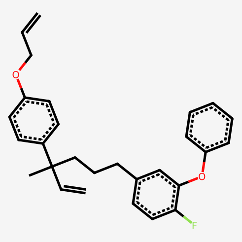 C=CCOc1ccc(C(C)(C=C)CCCc2ccc(F)c(Oc3ccccc3)c2)cc1